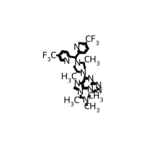 CC(N(C)C)n1cnc2c(N3C[C@@H](C)N(C(c4ccc(C(F)(F)F)cn4)c4ccc(C(F)(F)F)cn4)C[C@@H]3C)nc3nncn3c21